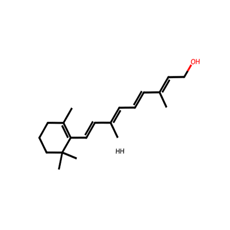 CC1=C(/C=C/C(C)=C/C=C/C(C)=C/CO)C(C)(C)CCC1.[HH]